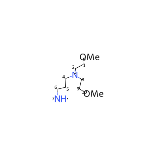 COCCN(CCC[NH])CCOC